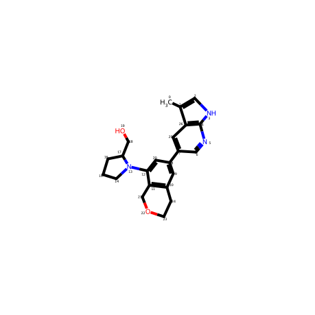 Cc1c[nH]c2ncc(-c3cc4c(c(N5CCCC5CO)c3)COCC4)cc12